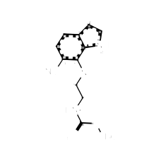 CC(C)(C)OC(=O)NCCNc1c(C#N)ccc2cc[nH]c12